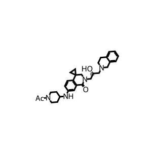 CC(=O)N1CCC(Nc2ccc3c(c2)C(=O)N(C[C@H](O)CN2CCc4ccccc4C2)CC32CC2)CC1